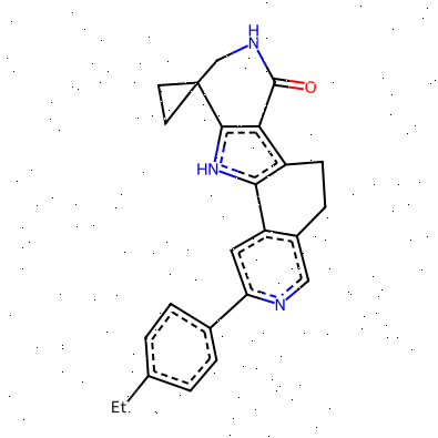 CCc1ccc(-c2cc3c(cn2)CCc2c-3[nH]c3c2C(=O)NCC32CC2)cc1